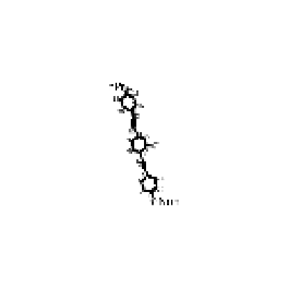 CCCCCCCCCc1ccc(C#Cc2c(F)cc(C#Cc3ccc(CCC)cc3)cc2F)cc1